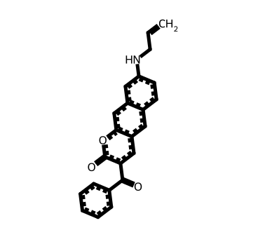 C=CCNc1ccc2cc3cc(C(=O)c4ccccc4)c(=O)oc3cc2c1